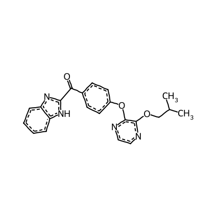 CC(C)COc1nccnc1Oc1ccc(C(=O)c2nc3ccccc3[nH]2)cc1